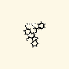 CCOC(=O)ON1CCN(C(=O)c2c(NCC(=O)c3ccccc3)nc3n2CCCC3)CC1